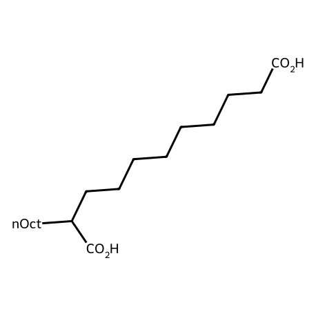 CCCCCCCCC(CCCCCCCCC(=O)O)C(=O)O